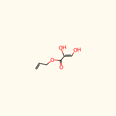 C=CCOC(=O)C(O)=CO